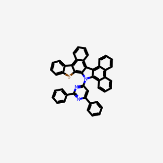 c1ccc(-c2cc(-n3c4c5ccccc5c5ccccc5c4c4c5ccccc5c5c6ccccc6sc5c43)nc(-c3ccccc3)n2)cc1